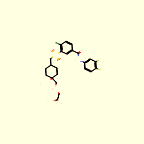 C[C@@H](O)COCC1(O)CCC(CS(=O)(=O)c2cc(C(=O)Nc3ccc(F)c(F)c3)ccc2Cl)CC1